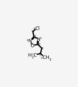 CC(C)Cc1nc(CCl)no1